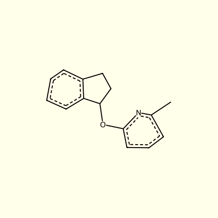 Cc1cccc(OC2CCc3ccccc32)n1